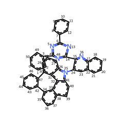 c1ccc(-c2nc(-c3ccccc3)nc(-c3nc4ccccc4cc3-n3c4cccc5c4c4c6c(cccc6ccc43)-c3ccccc3-5)n2)cc1